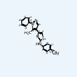 Cc1c(-c2csc(Nc3ccc(O)cc3)n2)cnn1-c1ccccc1